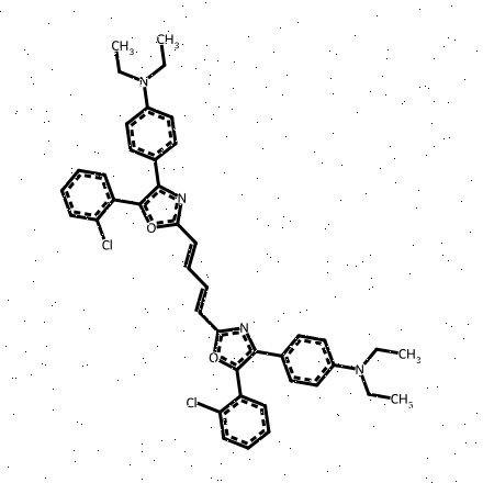 CCN(CC)c1ccc(-c2nc(C=CC=Cc3nc(-c4ccc(N(CC)CC)cc4)c(-c4ccccc4Cl)o3)oc2-c2ccccc2Cl)cc1